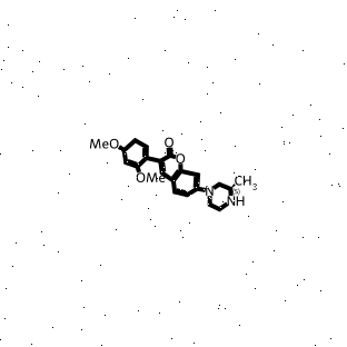 COC1=CC(OC)CC=C1c1cc2ccc(N3CCN[C@@H](C)C3)cc2oc1=O